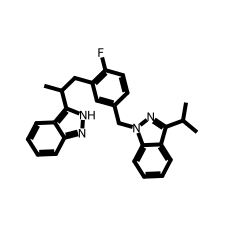 CC(C)c1nn(Cc2ccc(F)c(CC(C)c3[nH]nc4ccccc34)c2)c2ccccc12